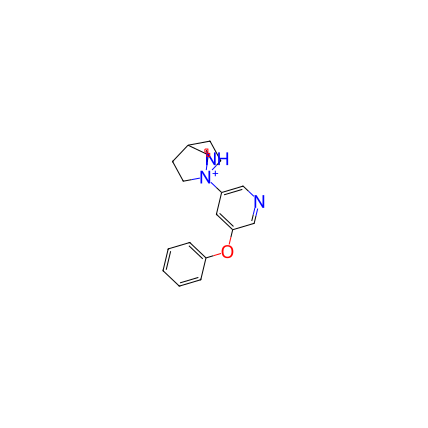 c1ccc(Oc2cncc([N+]34CCC(CC3)C43CCNC3)c2)cc1